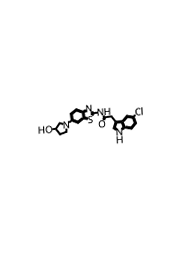 O=C(Cc1c[nH]c2ccc(Cl)cc12)Nc1nc2ccc(N3CCC(O)C3)cc2s1